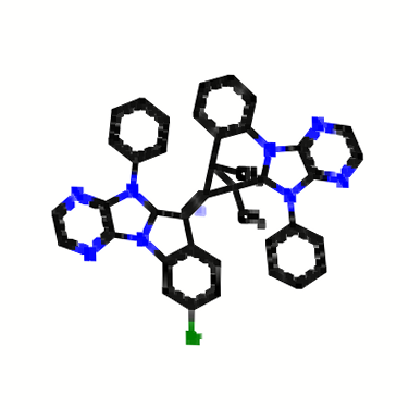 CC12/C(=C3/c4ccc(Br)cc4N4c5nccnc5N(c5ccccc5)C34)C1(C)C1N(c3ccccc3)c3nccnc3N1c1ccccc12